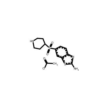 CC(=O)Cl.Nc1nc2ccc(S(=O)(=O)C3CCNCC3)cc2s1